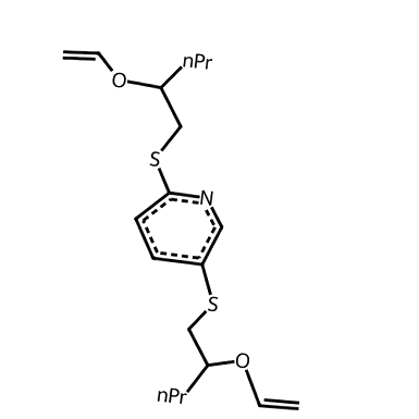 C=COC(CCC)CSc1ccc(SCC(CCC)OC=C)nc1